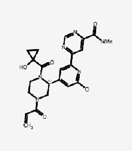 C=CC(=O)N1CCN(C(=O)C2(O)CC2)[C@@H](c2cc(Cl)nc(-c3cc(C(=O)NC)ncn3)c2)C1